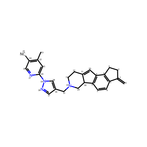 C=C1CCc2c1ccc1c2C=C2CCN(Cc3cnn(-c4cc(C)c(C#N)cn4)c3)CC21